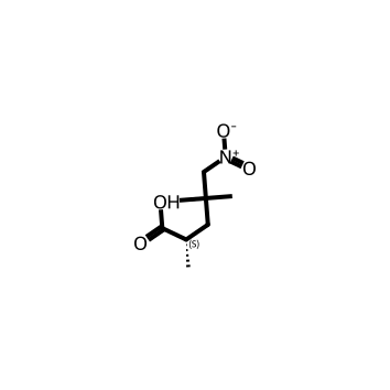 C[C@@H](CC(C)(C)C[N+](=O)[O-])C(=O)O